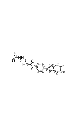 CC(=O)NCCNC(=O)Cc1ccc(-c2nc3cc(F)ccc3s2)cc1